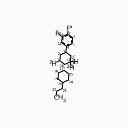 [2H][C@H]1CC(c2ccc(F)c(F)c2)CC([2H])([2H])[C@@H]1C1CCC(CCC)CC1